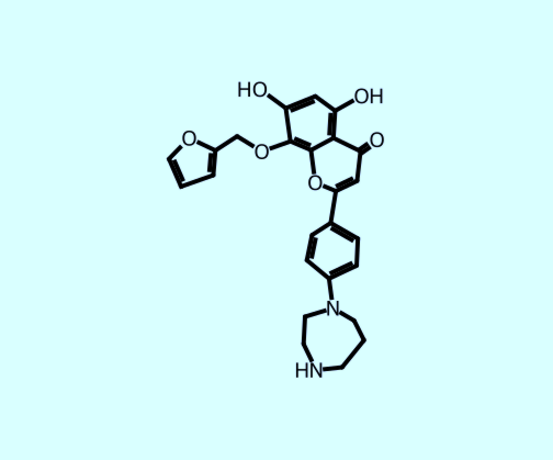 O=c1cc(-c2ccc(N3CCCNCC3)cc2)oc2c(OCc3ccco3)c(O)cc(O)c12